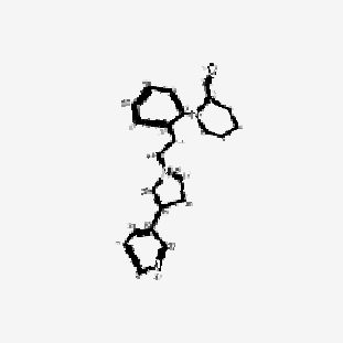 O=CC1CCCCN1c1ccccc1CCN1CCC(c2cccnc2)C1